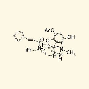 CC(=O)Oc1cc(O)c2c3c1O[C@H]1[C@H](N(CC(C)C)C(=O)C#Cc4ccccc4)CC[C@H]4[C@@H](C2)N(C)CC[C@@]341